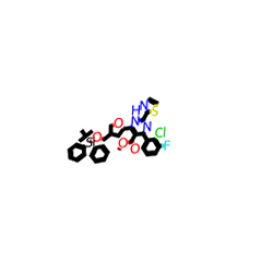 COC(=O)C1=C(C2CC(CO[Si](c3ccccc3)(c3ccccc3)C(C)(C)C)CO2)NC(c2nccs2)=NC1c1cccc(F)c1Cl